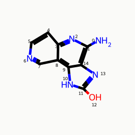 Nc1nc2ccncc2c2[nH]c(O)nc12